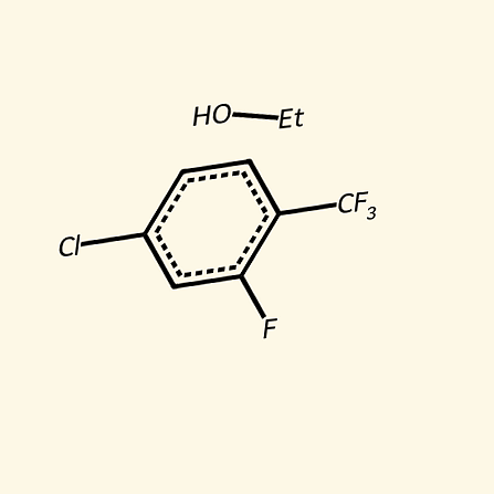 CCO.Fc1cc(Cl)ccc1C(F)(F)F